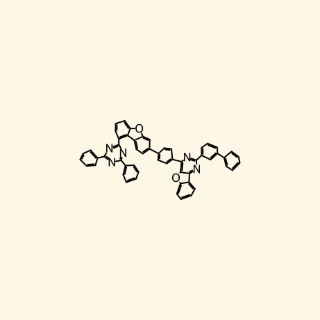 c1ccc(-c2cccc(-c3nc(-c4ccc(-c5ccc6c(c5)oc5cccc(-c7nc(-c8ccccc8)nc(-c8ccccc8)n7)c56)cc4)c4oc5ccccc5c4n3)c2)cc1